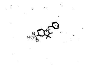 CC1=[N+](Cc2ccccc2)c2ccc(S(=O)(=O)O)cc2C1(C)C